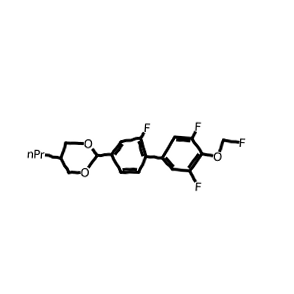 CCCC1COC(c2ccc(-c3cc(F)c(OCF)c(F)c3)c(F)c2)OC1